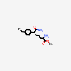 CC(C)Cc1ccc([C@@H](CCCC(N)C(=O)OC(C)(C)C)C(N)=O)cc1